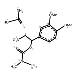 COc1ccc(C(C[N+](=O)[O-])OC(=S)N(C)C)cc1OC.NC(O)=S